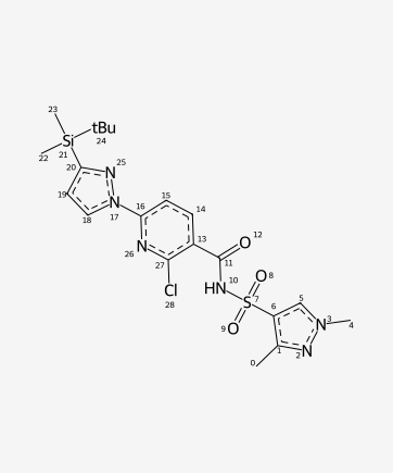 Cc1nn(C)cc1S(=O)(=O)NC(=O)c1ccc(-n2ccc([Si](C)(C)C(C)(C)C)n2)nc1Cl